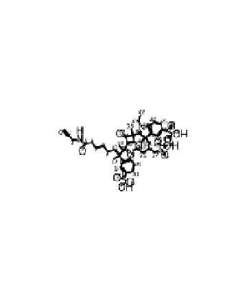 C#CCNC(=O)CCCCCC1(C)c2cc(S(=O)(=O)O)ccc2N(CCCCS(=O)(=O)O)C1(C)C1=C(O)C(C)(C2=[N+](CC)c3ccc(S(=O)(=O)O)cc3C2(C)C)C1=O